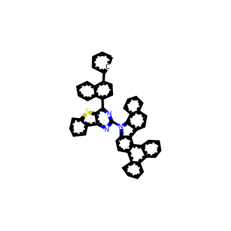 c1ccc(-c2ccc(-c3nc(-n4c5ccc6c7ccccc7c7ccccc7c6c5c5ccc6ccccc6c54)nc4c3sc3ccccc34)c3ccccc23)cc1